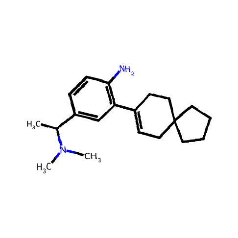 CC(c1ccc(N)c(C2=CCC3(CCCC3)CC2)c1)N(C)C